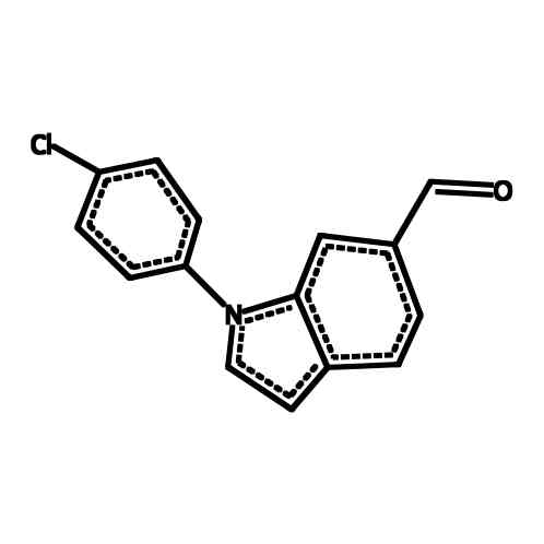 O=Cc1ccc2ccn(-c3ccc(Cl)cc3)c2c1